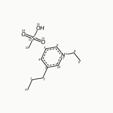 CCCc1ccc[n+](CC)c1.CS(=O)(=O)O